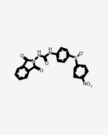 O=C(Nc1ccc([S+]([O-])c2ccc([N+](=O)[O-])cc2)cc1)NN1C(=O)c2ccccc2C1=O